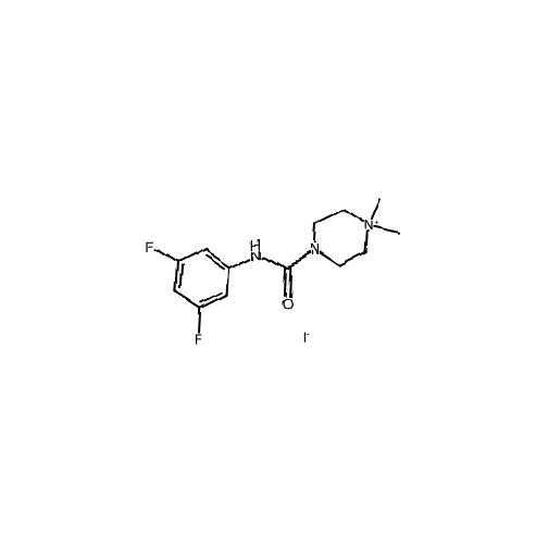 C[N+]1(C)CCN(C(=O)Nc2cc(F)cc(F)c2)CC1.[I-]